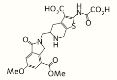 COC(=O)c1cc(OC)cc2c1CN(CC1Cc3c(sc(NC(=O)C(=O)O)c3C(=O)O)CN1)C2=O